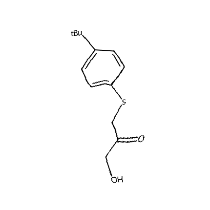 CC(C)(C)c1ccc(SCC(=O)CO)cc1